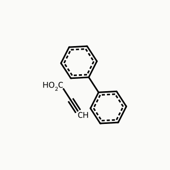 C#CC(=O)O.c1ccc(-c2ccccc2)cc1